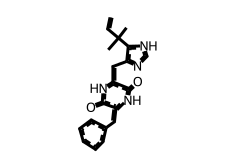 C=CC(C)(C)c1[nH]cnc1/C=c1/[nH]c(=O)/c(=C\c2ccccc2)[nH]c1=O